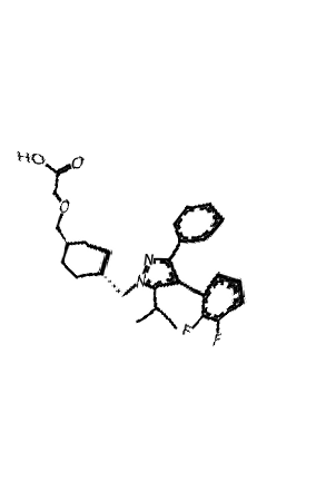 CC(C)c1c(-c2cccc(F)c2F)c(-c2ccccc2)nn1C[C@H]1CC[C@H](COCC(=O)O)CC1